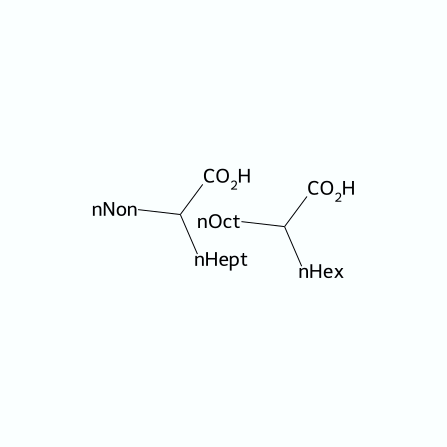 CCCCCCCCC(CCCCCC)C(=O)O.CCCCCCCCCC(CCCCCCC)C(=O)O